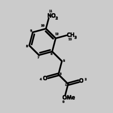 COC(=O)C(=O)Cc1cccc([N+](=O)[O-])c1C